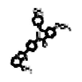 COc1ccc(C(=O)Nc2ccc(-c3cn4cccc(C)c4n3)cc2)c(CN2CCN(C)CC2)c1